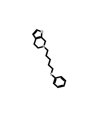 c1ccc(SCCCCCN2CCc3ccoc3C2)cc1